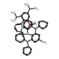 Cc1cc(C(c2ccccc2)c2ccccc2)c(N2C=C3C=CC=C(c4c(C(C)C)cc(C(C)C)cc4C(C)C)N3[CH]2[Au][Cl])c(C(c2ccccc2)c2ccccc2)c1